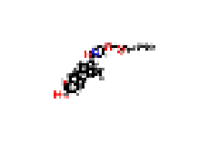 COCCOCCOC1CCN(C(=O)[C@@H]2C[C@@H](C3(C)CC3)[C@H]3C2CC[C@]2(C)[C@@H]3CC[C@@H]3[C@@]4(C)CC[C@H](O)C(C)(C)[C@@H]4CC[C@]32C)CC1